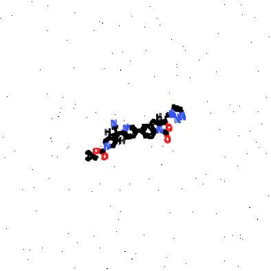 CC(C)(C)OC(=O)N1C[C@@H]2[C@H](C1)[C@]2(C#N)c1ccc(-c2ccc3c(c2)C[C@H]2[C@H](Cn4ccnn4)OC(=O)N32)cn1